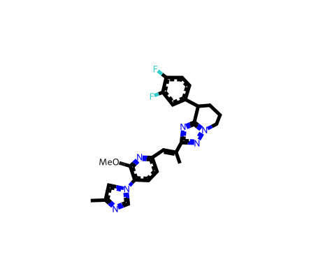 COc1nc(/C=C(\C)c2nc3n(n2)CCCC3c2ccc(F)c(F)c2)ccc1-n1cnc(C)c1